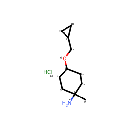 CC1(N)CCC(OCC2CC2)CC1.Cl